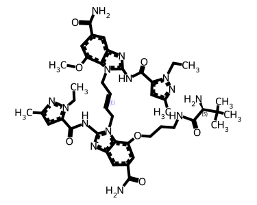 CCn1nc(C)cc1C(=O)Nc1nc2cc(C(N)=O)cc(OC)c2n1C/C=C/Cn1c(NC(=O)c2cc(C)nn2CC)nc2cc(C(N)=O)cc(OCCCNC(=O)[C@@H](N)C(C)(C)C)c21